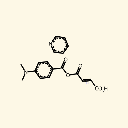 CN(C)c1ccc(C(=O)OC(=O)/C=C/C(=O)O)cc1.c1ccncc1